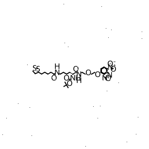 CC(C)(C)OC(=O)N[C@@H](CCCCNC(=O)CCCCC1CCSS1)C(=O)NCCOCCOc1ccc([N+](=O)[O-])c2nonc12